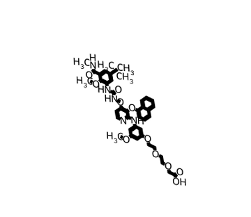 CNC(=O)c1cc(C(C)(C)C)cc(NC(=O)NOc2ccnc(Nc3cc(OC)cc(OCCOCCOCC(=O)O)c3)c2Oc2cccc3ccccc23)c1OC